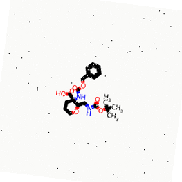 CC(C)(C)OC(=O)NCC1OCCCC1(NC(=O)OCc1ccccc1)C(=O)O